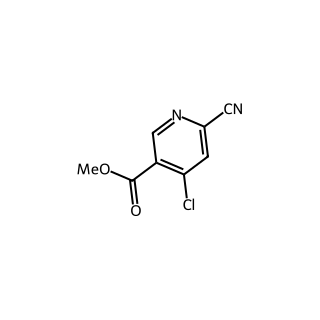 COC(=O)c1cnc(C#N)cc1Cl